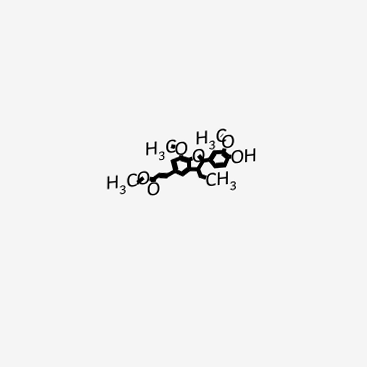 CCOC(=O)/C=C/c1cc(OC)c2c(c1)C(CC)C(c1ccc(O)c(OC)c1)O2